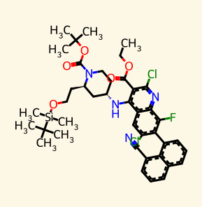 CCOC(=O)c1c(Cl)nc2c(F)c(-c3cccc4cccc(C#N)c34)c(Cl)cc2c1N[C@H]1CCN(C(=O)OC(C)(C)C)[C@H](CCO[Si](C)(C)C(C)(C)C)C1